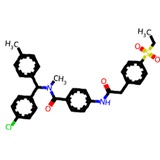 CCS(=O)(=O)c1ccc(CC(=O)Nc2ccc(C(=O)N(C)C(c3ccc(C)cc3)c3ccc(Cl)cc3)cc2)cc1